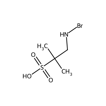 CC(C)(CNBr)S(=O)(=O)O